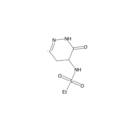 CCS(=O)(=O)NC1C[C]=NNC1=O